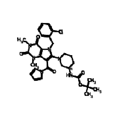 Cn1c(=O)c2c(c(C(=O)n3cccc3)c(N3CCC[C@@H](NC(=O)OC(C)(C)C)C3)n2Cc2ccccc2Cl)n(C)c1=O